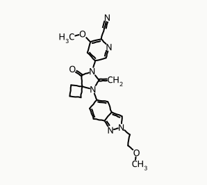 C=C1N(c2cnc(C#N)c(OC)c2)C(=O)C2(CCC2)N1c1ccc2nn(CCOC)cc2c1